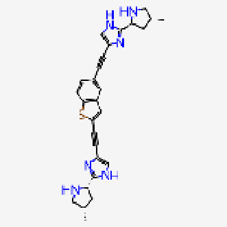 C[C@@H]1CN[C@H](c2nc(C#Cc3ccc4sc(C#Cc5c[nH]c([C@@H]6C[C@H](C)CN6)n5)cc4c3)c[nH]2)C1